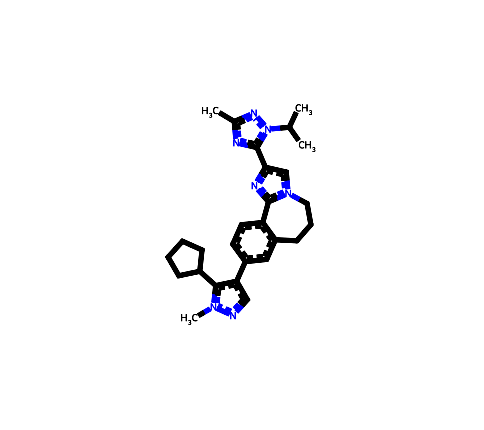 Cc1nc(-c2cn3c(n2)-c2ccc(-c4cnn(C)c4C4CCCC4)cc2CCC3)n(C(C)C)n1